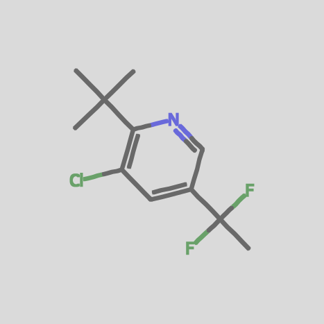 CC(C)(C)c1ncc(C(C)(F)F)cc1Cl